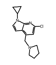 Clc1cc(CN2CCCC2)c2ccn(C3CC3)c2n1